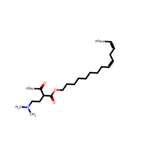 CCCCC/C=C\C/C=C\CCCCCCCCOC(=O)C(CCN(C)C)C(=O)CCCCCCCCCC